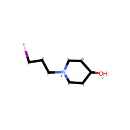 OC1CCN(CCCI)CC1